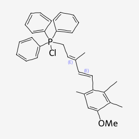 COc1cc(C)c(/C=C/C(C)=C/CP(Cl)(c2ccccc2)(c2ccccc2)c2ccccc2)c(C)c1C